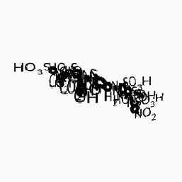 Nc1c(N=Nc2ccc3c(O)c(N=Nc4cc(S(=O)(=O)O)c(N=Nc5c(C(=O)O)nn(-c6ccc(S(=O)(=O)O)cc6C(=O)O)c5O)cc4SOOO)c(S(=O)(=O)O)cc3c2)cc(S(=O)(=O)O)c2cc(SOOO)c(N=Nc3ccc([N+](=O)[O-])cc3S(=O)(=O)O)c(O)c12